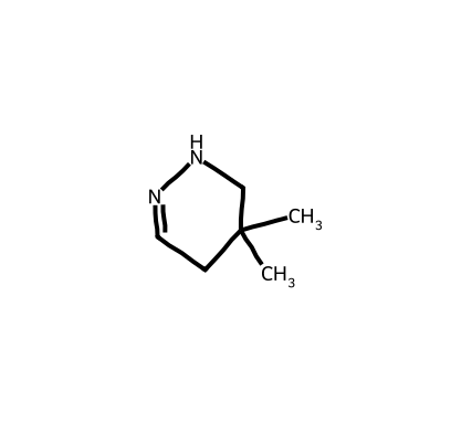 CC1(C)CC=NNC1